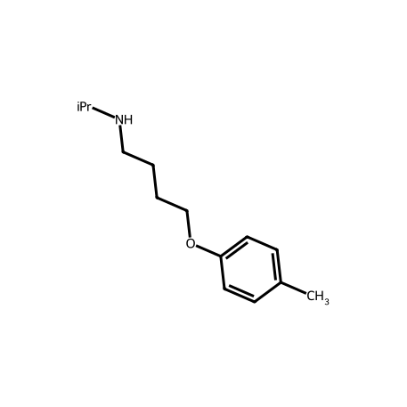 Cc1ccc(OCCCCNC(C)C)cc1